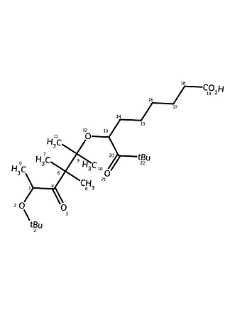 CC(OC(C)(C)C)C(=O)C(C)(C)C(C)(C)OC(CCCCCC(=O)O)C(=O)C(C)(C)C